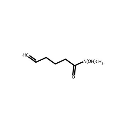 [CH]=CCCCC(=O)N(C)O